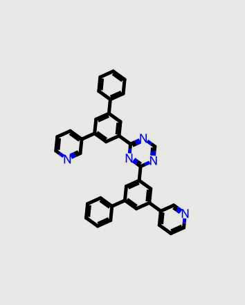 c1ccc(-c2cc(-c3cccnc3)cc(-c3ncnc(-c4cc(-c5ccccc5)cc(-c5cccnc5)c4)n3)c2)cc1